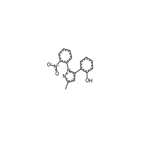 Cc1cc(-c2ccccc2O)n(-c2ccccc2[N+](=O)[O-])n1